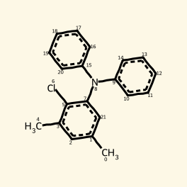 Cc1cc(C)c(Cl)c(N(c2ccccc2)c2ccccc2)c1